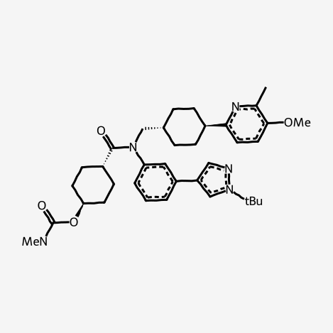 CNC(=O)O[C@H]1CC[C@H](C(=O)N(C[C@H]2CC[C@H](c3ccc(OC)c(C)n3)CC2)c2cccc(-c3cnn(C(C)(C)C)c3)c2)CC1